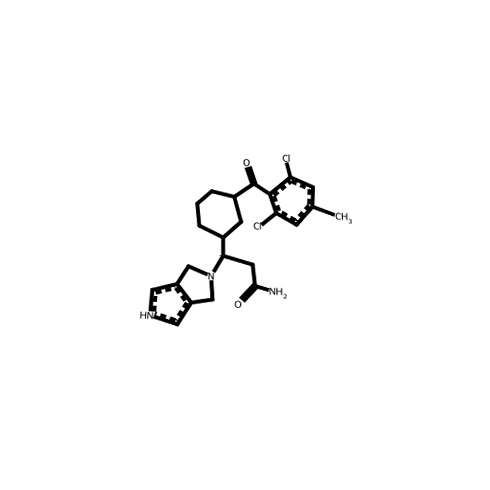 Cc1cc(Cl)c(C(=O)C2CCCC([C](CC(N)=O)N3Cc4c[nH]cc4C3)C2)c(Cl)c1